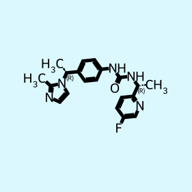 Cc1nccn1[C@H](C)c1ccc(NC(=O)N[C@H](C)c2ccc(F)cn2)cc1